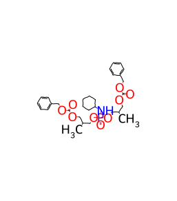 CC(COC(=O)OCc1ccccc1)COP(=O)(NC1CCCCC1)OCC(C)COC(=O)OCc1ccccc1